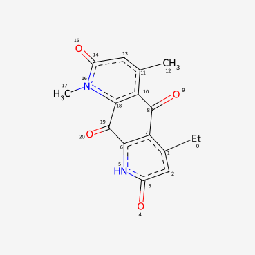 CCc1cc(=O)[nH]c2c1C(=O)c1c(C)cc(=O)n(C)c1C2=O